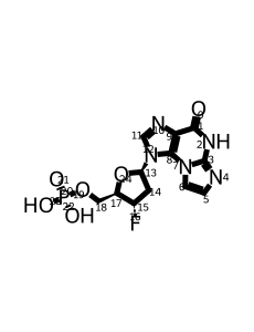 O=c1[nH]c2nccn2c2c1ncn2[C@H]1C[C@H](F)[C@@H](COP(=O)(O)O)O1